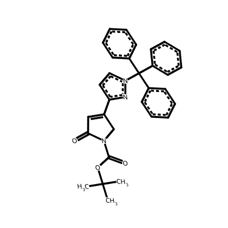 CC(C)(C)OC(=O)N1CC(c2ccn(C(c3ccccc3)(c3ccccc3)c3ccccc3)n2)=CC1=O